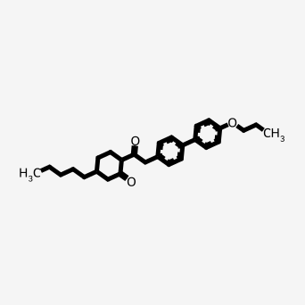 CCCCCC1CCC(C(=O)Cc2ccc(-c3ccc(OCCC)cc3)cc2)C(=O)C1